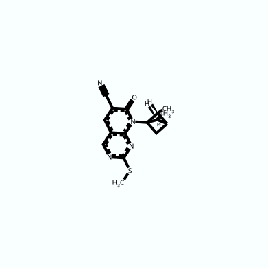 CSc1ncc2cc(C#N)c(=O)n(C34CC([C@H]3C)[C@H]4C)c2n1